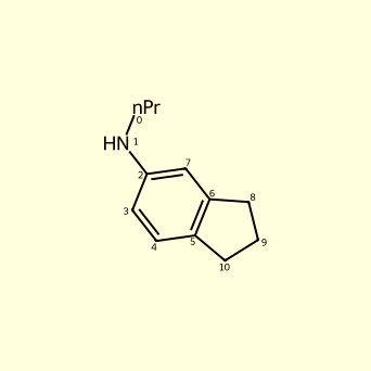 CCCNc1ccc2c(c1)CCC2